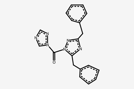 O=C(n1cncn1)n1nc(Cc2ccccc2)nc1Cc1ccccc1